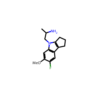 COc1cc2c(cc1F)c1c(n2CC(C)N)CCC1